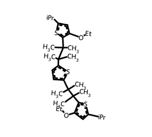 CCOc1cc(C(C)C)sc1C(C)(C)C(C)(C)c1ccc(C(C)(C)C(C)(C)c2sc(C(C)C)cc2OCC)s1